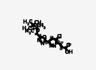 CC(C)(C)[Si](C)(C)OCc1nnc(-c2cnc(C=CC(=O)O)c(Cl)c2)o1